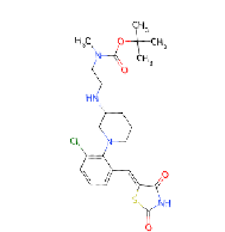 CN(CCN[C@@H]1CCCN(c2c(Cl)cccc2/C=C2\SC(=O)NC2=O)C1)C(=O)OC(C)(C)C